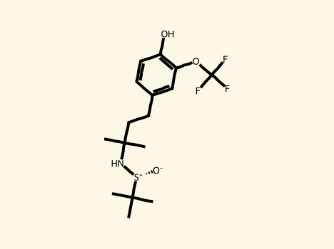 CC(C)(CCc1ccc(O)c(OC(F)(F)F)c1)N[S@+]([O-])C(C)(C)C